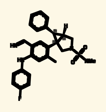 CNS(=O)(=O)N1C[C@H]2[C@H](c3ccccc3)[C@@]2(c2cc(C=N)c(Nc3ccc(F)cc3)cc2C)C1